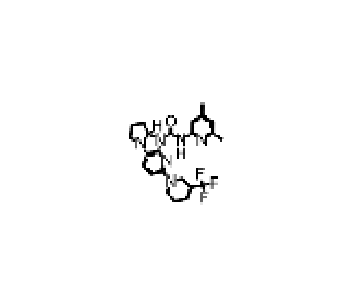 Cc1cc(C)nc(NC(=O)N2c3nc(N4CCCC(C(F)(F)F)C4)ccc3N3CCC[C@H]32)c1